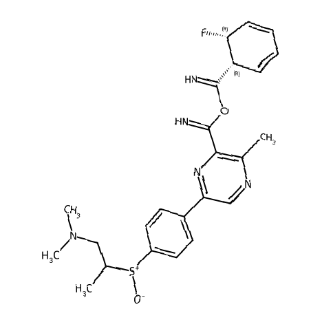 Cc1ncc(-c2ccc([S+]([O-])C(C)CN(C)C)cc2)nc1C(=N)OC(=N)[C@H]1C=CC=C[C@H]1F